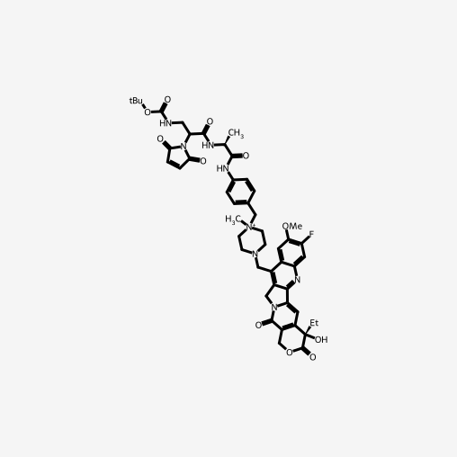 CC[C@@]1(O)C(=O)OCc2c1cc1n(c2=O)Cc2c-1nc1cc(F)c(OC)cc1c2CN1CC[N+](C)(Cc2ccc(NC(=O)[C@H](C)NC(=O)C(CNC(=O)OC(C)(C)C)N3C(=O)C=CC3=O)cc2)CC1